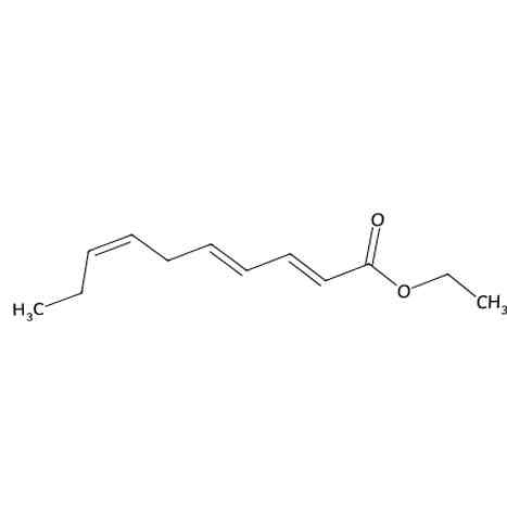 CC/C=C\C/C=C/C=C/C(=O)OCC